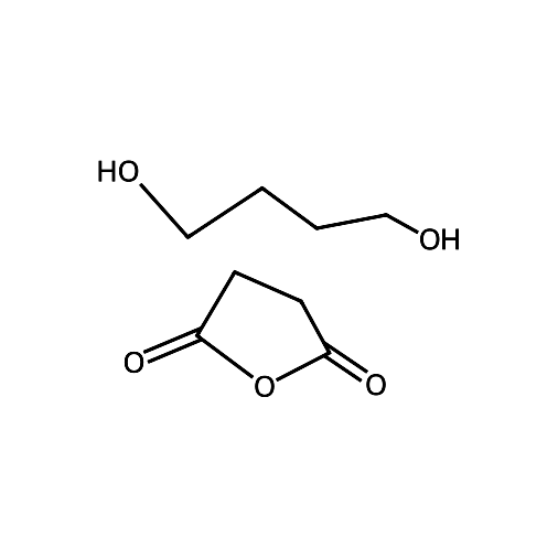 O=C1CCC(=O)O1.OCCCCO